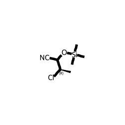 C[C@@H](Cl)C(C#N)O[Si](C)(C)C